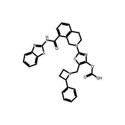 O=C(O)Oc1nc(N2CCc3cccc(C(=O)Nc4nc5ccccc5s4)c3C2)sc1CN1CCC1c1ccccc1